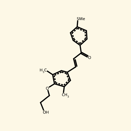 CSc1ccc(C(=O)/C=C/c2cc(C)c(OCCO)c(C)c2)cc1